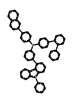 c1ccc(-c2ccccc2-c2ccc(N(c3ccc(-c4ccc5ccccc5c4)cc3)c3cccc(-c4cccc5c4c4ccccc4n5-c4ccccc4)c3)cc2)cc1